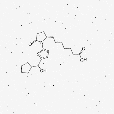 O=C(O)CCCCCC[C@@H]1CCC(=O)N1c1ccc(C(O)C2CCCC2)s1